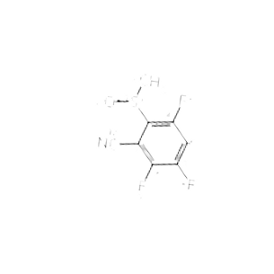 C[S+]([O-])c1c(F)cc(F)c(F)c1C#N